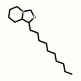 CCCCCCCCCCC1OCN2CCCCC12